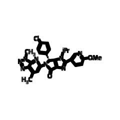 COc1ccc(-c2nc3c(n2C(C)C)[C@@H](c2ccc(Cl)cc2)N(c2cc(C)c4nnn(C)c4n2)C3=O)cn1